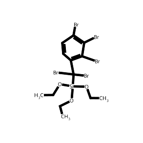 CCO[Si](OCC)(OCC)C(Br)(Br)c1ccc(Br)c(Br)c1Br